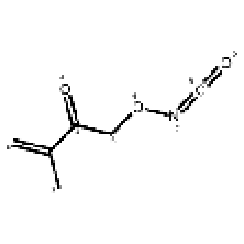 C=C(C)C(=O)CON=C=O